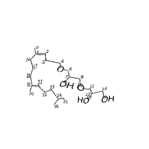 CC(=CCCOCC(O)COCC(O)CO)CCCC(C)CCCC(C)C